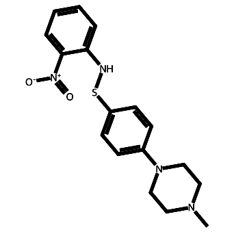 CN1CCN(c2ccc(SNc3ccccc3[N+](=O)[O-])cc2)CC1